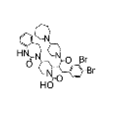 O=C(C(Cc1ccc(Br)c(Br)c1)[C@H]1CC(N2CCc3ccccc3NC2=O)CCN1C(=O)O)N1CCC(N2CCCCCC2)CC1